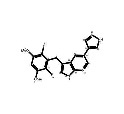 COc1cc(OC)c(F)c(Cc2c[nH]c3ncc(-c4cn[nH]c4)cc23)c1F